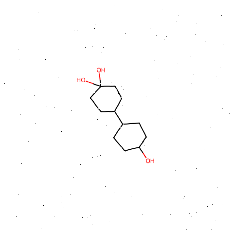 OC1CCC(C2CCC(O)(O)CC2)CC1